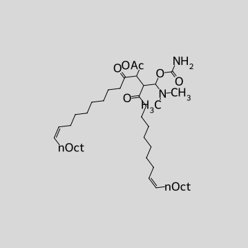 CCCCCCCC/C=C\CCCCCCCC(=O)C(OC(C)=O)C(C(=O)CCCCCCC/C=C\CCCCCCCC)C(OC(N)=O)N(C)C